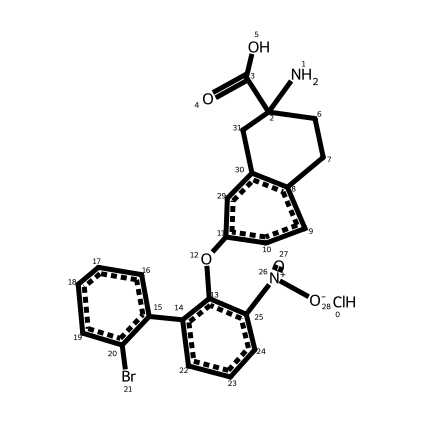 Cl.NC1(C(=O)O)CCc2ccc(Oc3c(-c4ccccc4Br)cccc3[N+](=O)[O-])cc2C1